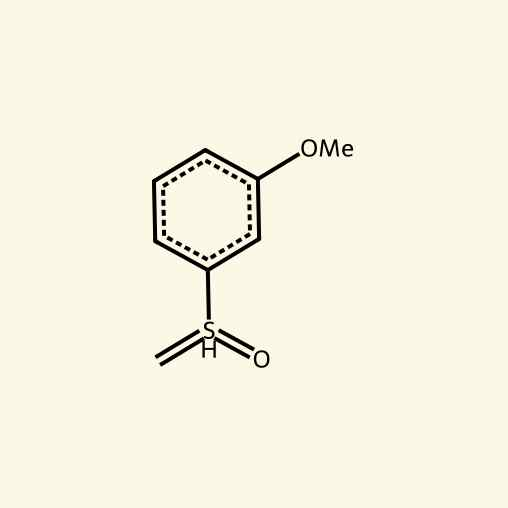 C=[SH](=O)c1cccc(OC)c1